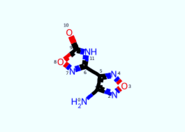 Nc1nonc1-c1noc(=O)[nH]1